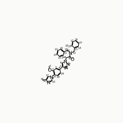 COc1cc(-c2cn(CC(=O)N(Cc3ccccc3)[C@@H](C)c3ccccc3)nn2)ccc1-n1cnc(C)c1